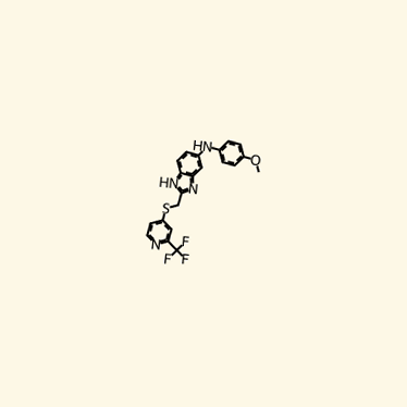 COc1ccc(Nc2ccc3[nH]c(CSc4ccnc(C(F)(F)F)c4)nc3c2)cc1